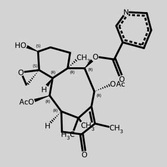 CC(=O)O[C@@H]1[C@@H]2CC(=O)C(C)=C([C@@H](OC(C)=O)[C@H](OC(=O)c3cccnc3)[C@]3(C)CC[C@H](O)[C@@]4(CO4)[C@@H]13)C2(C)C